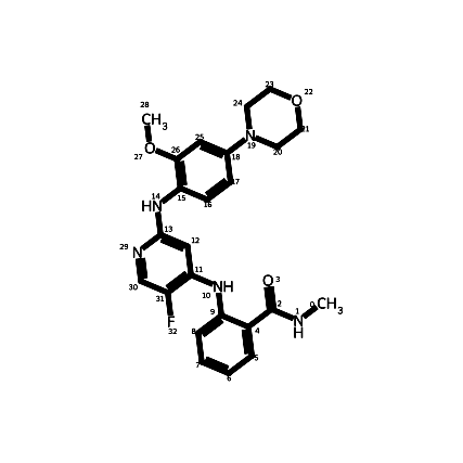 CNC(=O)c1ccccc1Nc1cc(Nc2ccc(N3CCOCC3)cc2OC)ncc1F